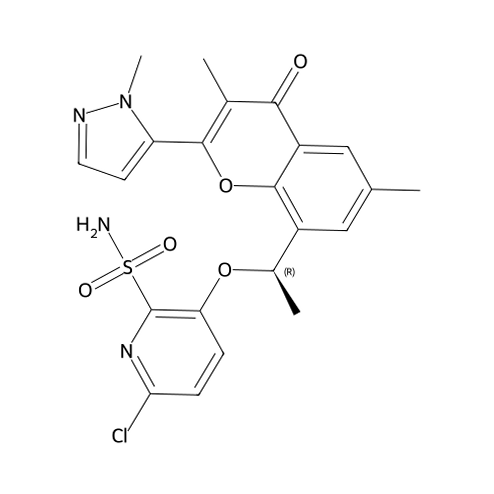 Cc1cc([C@@H](C)Oc2ccc(Cl)nc2S(N)(=O)=O)c2oc(-c3ccnn3C)c(C)c(=O)c2c1